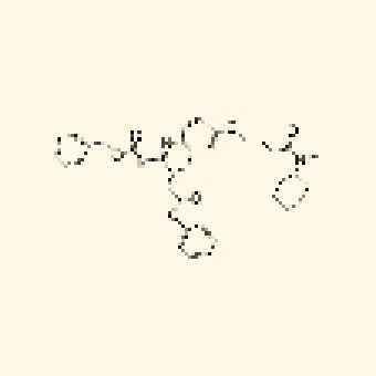 CN(C(=O)CCCOc1ccc2c(c1)CN(CC(=O)Oc1ccccc1)C(NC(=O)OCc1ccccc1)=N2)C1CCCCC1